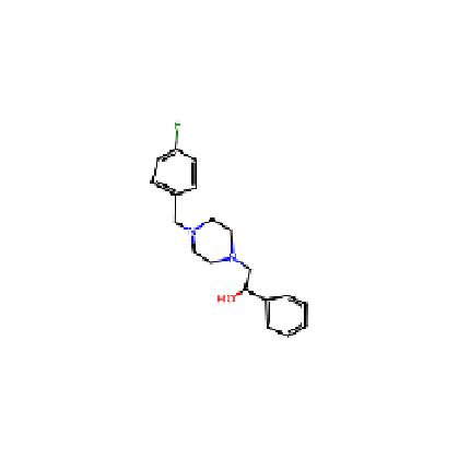 OC(CN1CCN(Cc2ccc(F)cc2)CC1)c1ccccc1